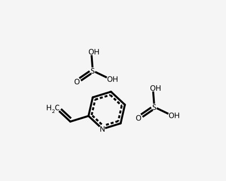 C=Cc1ccccn1.O=S(O)O.O=S(O)O